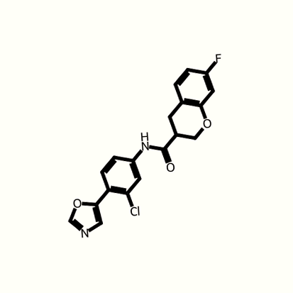 O=C(Nc1ccc(-c2cnco2)c(Cl)c1)C1COc2cc(F)ccc2C1